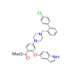 COC(=O)c1ccc(N2CCN(Cc3ccccc3-c3ccc(Cl)cc3)CC2)cc1Oc1ccc2[nH]ccc2c1